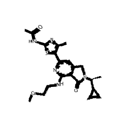 COCCNc1nc(-c2sc(NC(C)=O)nc2C)cc2c1C(=O)N([C@@H](C)C1CC1)C2